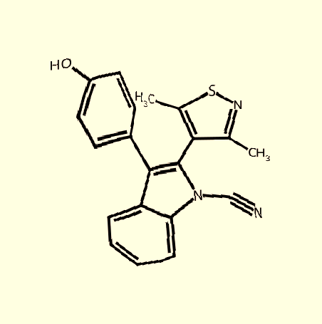 Cc1nsc(C)c1-c1c(-c2ccc(O)cc2)c2ccccc2n1C#N